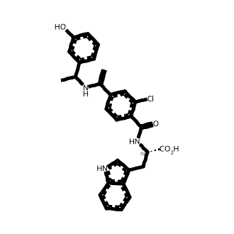 C=C(NC(C)c1cccc(O)c1)c1ccc(C(=O)N[C@@H](Cc2c[nH]c3ccccc23)C(=O)O)c(Cl)c1